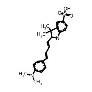 CN(C)c1ccc(C=CC=CC2[N]c3ccc(S(=O)(=O)O)cc3C2(C)C)cc1